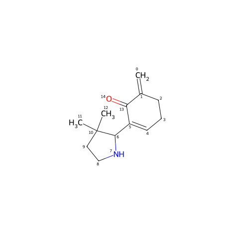 C=C1CCC=C(C2NCCC2(C)C)C1=O